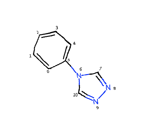 [c]1ccccc1-n1cnnc1